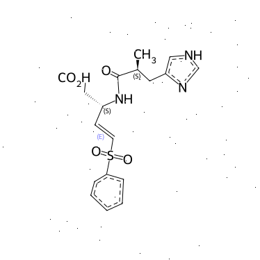 C[C@@H](Cc1c[nH]cn1)C(=O)N[C@H](/C=C/S(=O)(=O)c1ccccc1)CC(=O)O